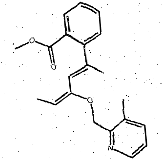 C/C=C(\C=C(/C)c1ccccc1C(=O)OC)OCc1ncccc1C